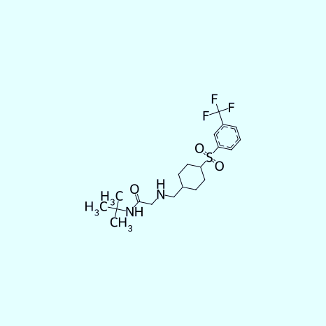 CC(C)(C)NC(=O)CNCC1CCC(S(=O)(=O)c2cccc(C(F)(F)F)c2)CC1